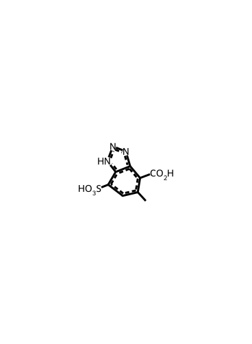 Cc1cc(S(=O)(=O)O)c2[nH]nnc2c1C(=O)O